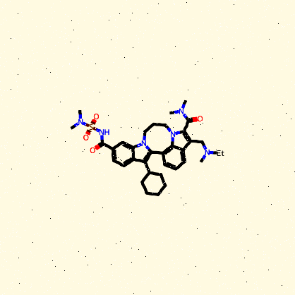 CCN(C)Cc1c(C(=O)N(C)C)n2c3c(cccc13)-c1c(C3CCCCC3)c3ccc(C(=O)NS(=O)(=O)N(C)C)cc3n1CCC2